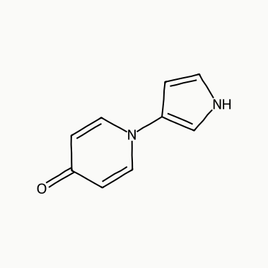 O=c1ccn(-c2cc[nH]c2)cc1